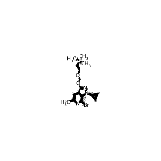 Cc1cc2c(OCOCC[Si](C)(C)C)nn(C3CC3)c2c(Br)n1